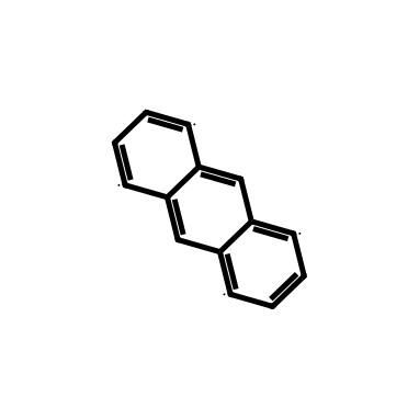 [c]1cc[c]c2cc3[c]cc[c]c3cc12